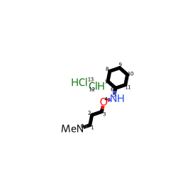 CNCCCONC1CCCCC1.Cl.Cl